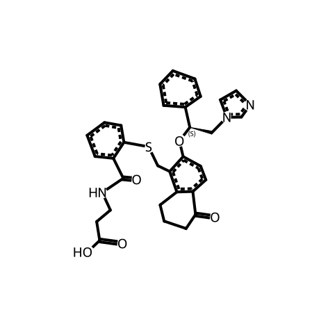 O=C(O)CCNC(=O)c1ccccc1SCc1c(O[C@H](Cn2ccnc2)c2ccccc2)ccc2c1CCCC2=O